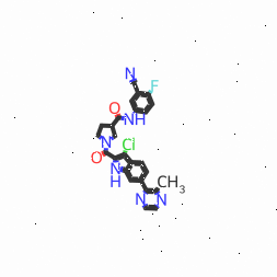 Cc1nccnc1-c1ccc2c(Cl)c(C(=O)N3CCC(C(=O)Nc4ccc(F)c(C#N)c4)C3)[nH]c2c1